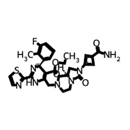 CCOC(=O)C1=C(CN2CCN3C(=O)N(C45CC(C(N)=O)(C4)C5)C[C@@H]3C2)NC(c2nccs2)=N[C@H]1c1cccc(F)c1C